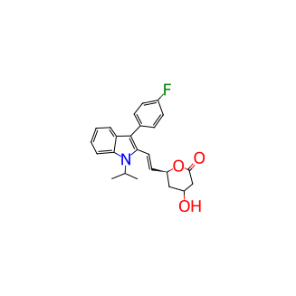 CC(C)n1c(/C=C/[C@@H]2CC(O)CC(=O)O2)c(-c2ccc(F)cc2)c2ccccc21